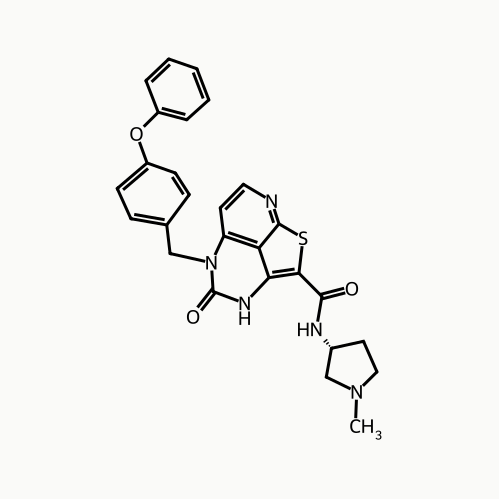 CN1CC[C@@H](NC(=O)c2sc3nccc4c3c2NC(=O)N4Cc2ccc(Oc3ccccc3)cc2)C1